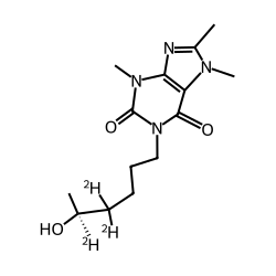 [2H]C([2H])(CCCn1c(=O)c2c(nc(C)n2C)n(C)c1=O)[C@]([2H])(C)O